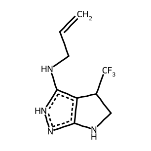 C=CCNc1[nH]nc2c1C(C(F)(F)F)CN2